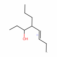 [CH2]C/C=C/C(CCC)C(O)CC